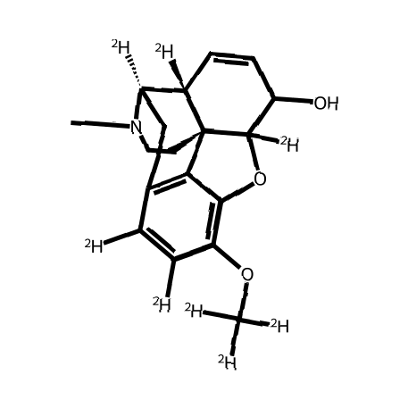 [2H]c1c([2H])c(OC([2H])([2H])[2H])c2c3c1C[C@@]1([2H])N(C)CC[C@@]34C([2H])(O2)C(O)C=C[C@@]14[2H]